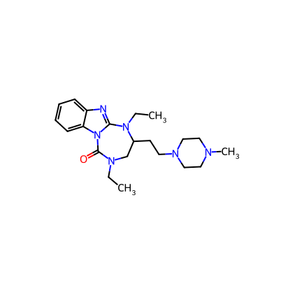 CCN1CC(CCN2CCN(C)CC2)N(CC)c2nc3ccccc3n2C1=O